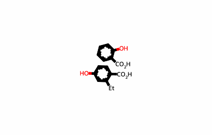 CCc1cc(O)ccc1C(=O)O.O=C(O)c1ccccc1O